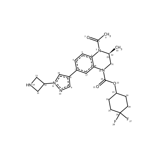 CC(=O)N1c2ccc(-c3cnn(C4CNC4)c3)cc2N(C(=O)OC2CCC(F)(F)CC2)C[C@@H]1C